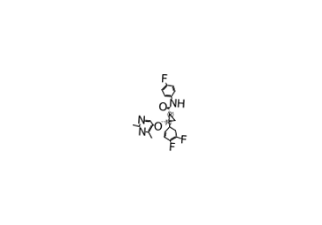 Cc1ncc(OC[C@@]2(C3C=CC(F)=C(F)C3)C[C@H]2C(=O)Nc2ccc(F)cc2)c(C)n1